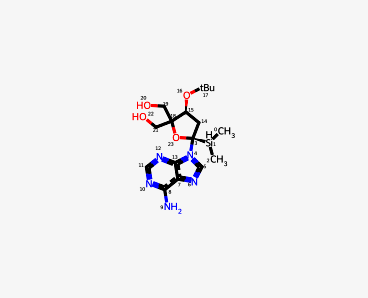 C[SiH](C)[C@]1(n2cnc3c(N)ncnc32)C[C@H](OC(C)(C)C)C(CO)(CO)O1